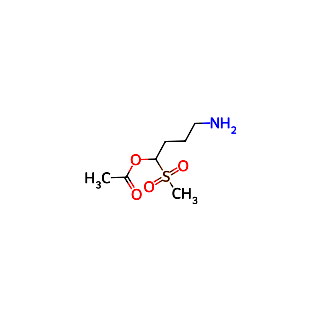 CC(=O)OC(CCCN)S(C)(=O)=O